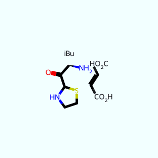 CC[C@H](C)[C@@H](N)C(=O)C1NCCS1.O=C(O)/C=C/C(=O)O